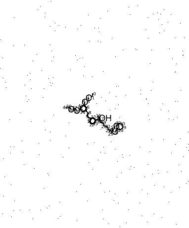 CCOCOc1cc(C=Cc2cccc(C(C)(O)CCCCCC(C)(C)OC3CCCCO3)c2)cc(OCOCC)c1